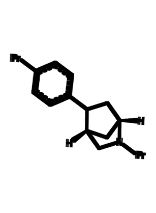 CC(C)c1ccc(C2C[C@H]3C[C@@H]2CN3C(C)C)cc1